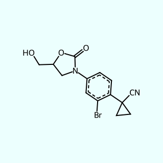 N#CC1(c2ccc(N3CC(CO)OC3=O)cc2Br)CC1